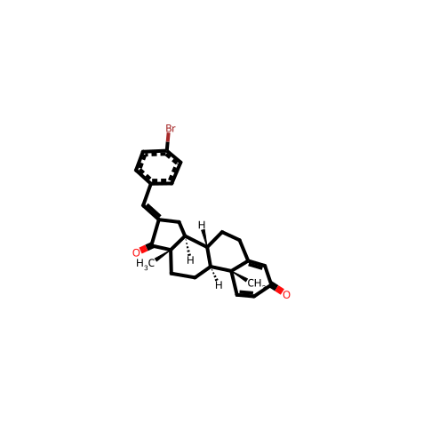 C[C@]12C=CC(=O)C=C1CC[C@@H]1[C@@H]2CC[C@]2(C)C(=O)C(=Cc3ccc(Br)cc3)C[C@@H]12